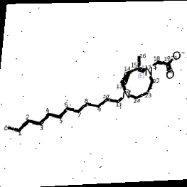 CCCCCCCCCCCCN1C#C/C(C)=[N+](/CC(=O)[O-])CCC1